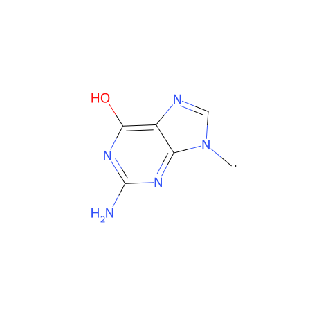 [CH2]n1cnc2c(O)nc(N)nc21